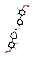 CCCCOc1ccc(-c2ccc(OC[C@H]3CC[C@H](c4ccc(OCC)c(F)c4F)CC3)cc2)c(F)c1F